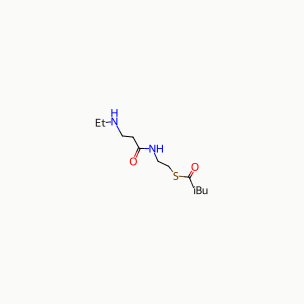 CCNCCC(=O)NCCSC(=O)C(C)CC